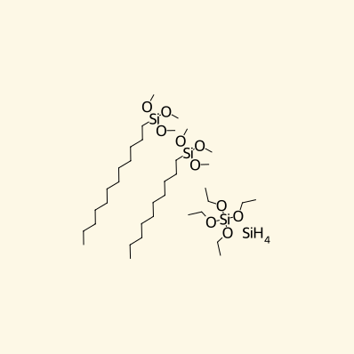 CCCCCCCCCCCC[Si](OC)(OC)OC.CCCCCCCCCC[Si](OC)(OC)OC.CCO[Si](OCC)(OCC)OCC.[SiH4]